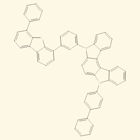 c1ccc(-c2ccc(-n3c4ccccc4c4c5c6ccccc6n(-c6cccc(-c7cccc8c7sc7c(-c9ccccc9)cccc78)c6)c5ccc43)cc2)cc1